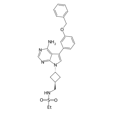 CCS(=O)(=O)NC[C@H]1C[C@H](n2cc(-c3cccc(OCc4ccccc4)c3)c3c(N)ncnc32)C1